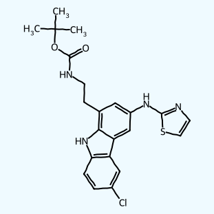 CC(C)(C)OC(=O)NCCc1cc(Nc2nccs2)cc2c1[nH]c1ccc(Cl)cc12